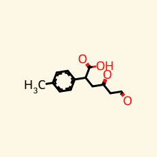 Cc1ccc(C(CC(=O)CC=O)C(=O)O)cc1